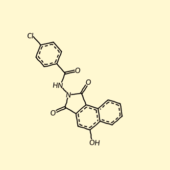 O=C(NN1C(=O)c2cc(O)c3ccccc3c2C1=O)c1ccc(Cl)cc1